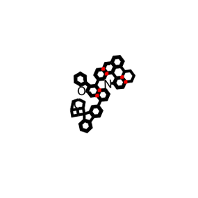 c1ccc(N(c2ccc(-c3ccc4c(c3)C3(c5ccccc5-4)C4CC5CC6CC3C64C5)cc2)c2ccccc2-c2cccc3oc4ccccc4c23)c(-c2cccc3cccc(C4CCCCC4)c23)c1